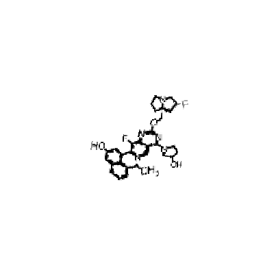 CCc1cccc2cc(O)cc(-c3ncc4c(N5CC[C@@H](O)C5)nc(OC[C@@]56CCCN5C[C@H](F)C6)nc4c3F)c12